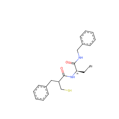 CC(C)C[C@@H](NC(=O)C(CS)Cc1ccccc1)C(=O)NCc1ccccc1